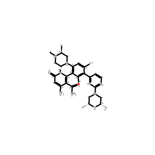 C[C@@H]1CN(c2nccc(-c3c(F)cc(N4CCN(C)[C@@H](C)C4)c(-c4c(C(N)=O)c(C(F)(F)F)cc(=O)n4C)c3F)n2)C[C@H](C)O1